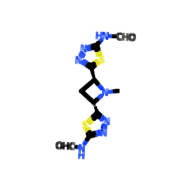 CN1[C@H](c2nnc(NC=O)s2)C[C@H]1c1nnc(NC=O)s1